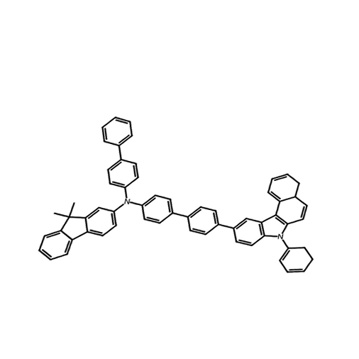 CC1(C)c2ccccc2-c2ccc(N(c3ccc(-c4ccccc4)cc3)c3ccc(-c4ccc(-c5ccc6c(c5)c5c(n6C6=CC=CCC6)C=CC6CC=CC=C56)cc4)cc3)cc21